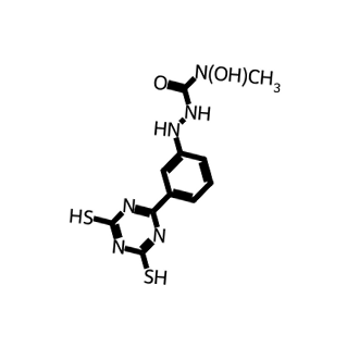 CN(O)C(=O)NNc1cccc(-c2nc(S)nc(S)n2)c1